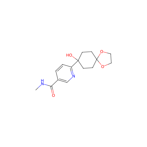 CNC(=O)c1ccc(C2(O)CCC3(CC2)OCCO3)nc1